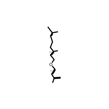 C=C(C)/C=C/OC/C=C(\C)CCC=C(C)C